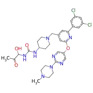 CC(=O)C(O)NC(=O)NC1CCN(Cc2cc(Oc3cnc(N4CCN(C)CC4)nc3)nc(-c3cc(Cl)cc(Cl)c3)c2)CC1